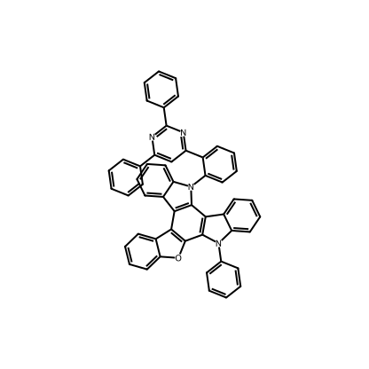 c1ccc(-c2cc(-c3ccccc3-n3c4ccccc4c4c5c6ccccc6oc5c5c(c6ccccc6n5-c5ccccc5)c43)nc(-c3ccccc3)n2)cc1